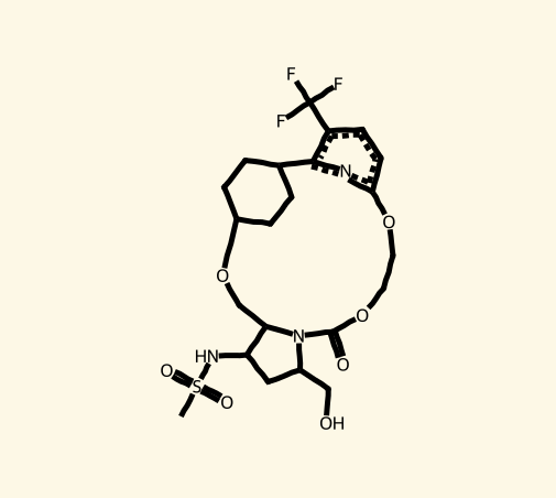 CS(=O)(=O)NC1CC(CO)N2C(=O)OCCOc3ccc(C(F)(F)F)c(n3)C3CCC(CC3)OCC12